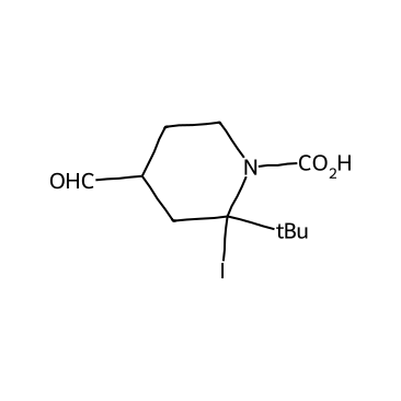 CC(C)(C)C1(I)CC(C=O)CCN1C(=O)O